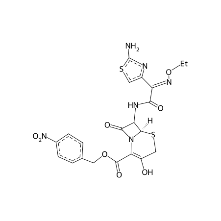 CCO/N=C(/C(=O)NC1C(=O)N2C(C(=O)OCc3ccc([N+](=O)[O-])cc3)=C(O)CS[C@H]12)c1csc(N)n1